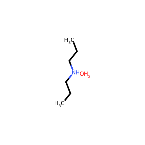 CCCNCCC.O